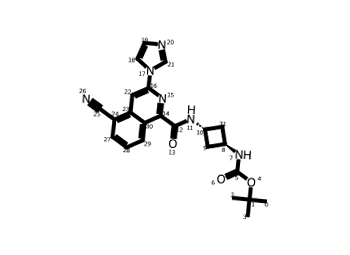 CC(C)(C)OC(=O)N[C@H]1C[C@H](NC(=O)c2nc(-n3ccnc3)cc3c(C#N)cccc23)C1